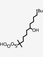 CC(C)(C)CCCCC(O)CCCCC(C)(C)SOOO